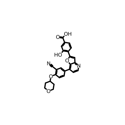 N#Cc1cc(-c2ccnc3cc(-c4ccc(C(=O)O)cc4O)oc23)ccc1OC1CCOCC1